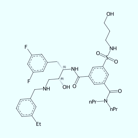 CCCN(CCC)C(=O)c1cc(C(=O)N[C@@H](Cc2cc(F)cc(F)c2)[C@H](O)CNCc2cccc(CC)c2)cc(S(=O)(=O)NCCCO)c1